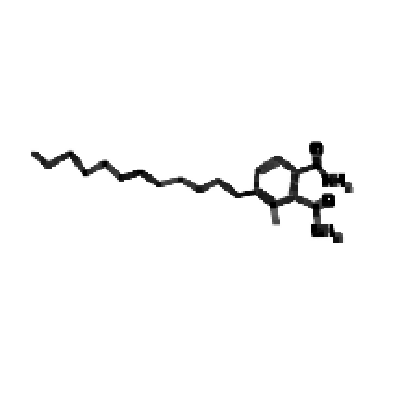 CCCCCCCCCCCCc1ccc(C(N)=O)c(C(N)=O)c1C